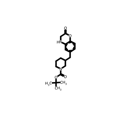 CC(C)(C)OC(=O)N1CCCC(Cc2ccc3c(c2)NCC(=O)O3)C1